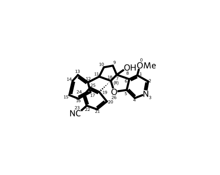 COc1cncc2c1C1(O)CCC(c3ccccc3)[C@]1(c1ccc(C#N)cc1)O2